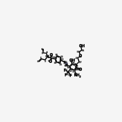 C=CCN(CC=C)S(=O)(=O)c1ccc(/N=N/c2c(C(F)(F)F)c(N)c(=O)n(CCOCCO)c2O)cc1